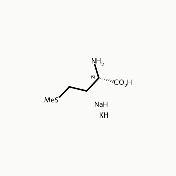 CSCC[C@H](N)C(=O)O.[KH].[NaH]